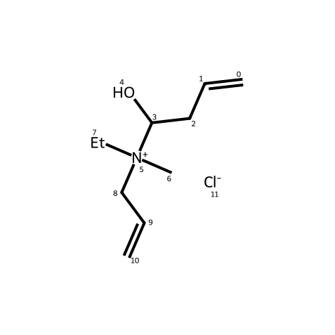 C=CCC(O)[N+](C)(CC)CC=C.[Cl-]